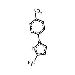 O=[N+]([O-])c1ccc(-n2ccc(C(F)(F)F)n2)nc1